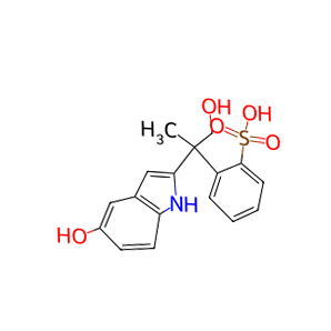 CC(CO)(c1cc2cc(O)ccc2[nH]1)c1ccccc1S(=O)(=O)O